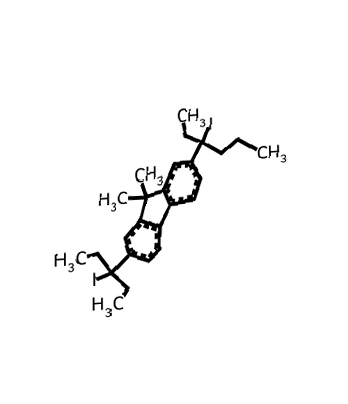 CCCC(I)(CC)c1ccc2c(c1)C(C)(C)c1cc(C(I)(CC)CC)ccc1-2